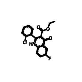 CCOC(=O)c1c(-c2ccccc2Cl)[nH]c2ccc(F)cc2c1=O